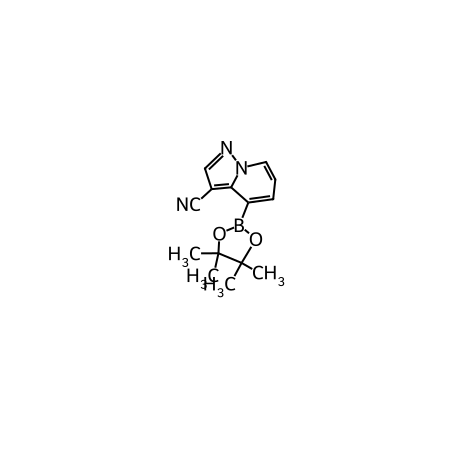 CC1(C)OB(c2cccn3ncc(C#N)c23)OC1(C)C